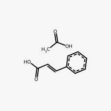 CC(=O)O.O=C(O)C=Cc1ccccc1